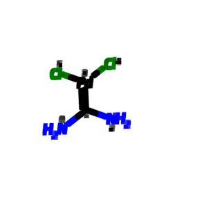 N[C](N)=[Pd]([Cl])[Cl]